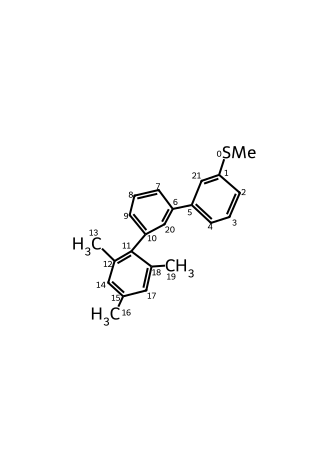 CSc1cccc(-c2cccc(-c3c(C)cc(C)cc3C)c2)c1